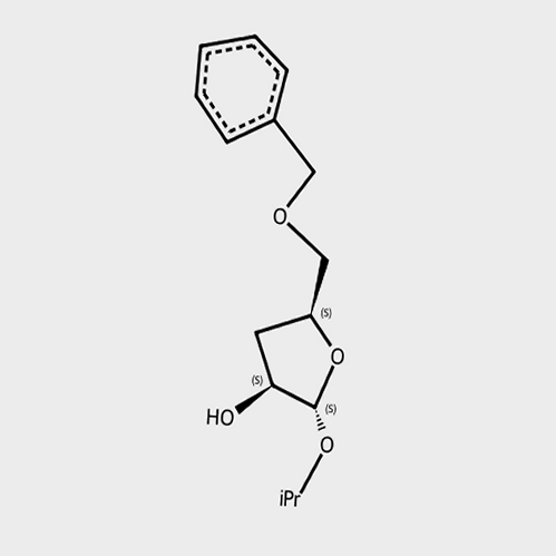 CC(C)O[C@H]1O[C@H](COCc2ccccc2)C[C@@H]1O